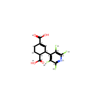 O=C(O)C1=CC(c2c(F)c(F)nc(F)c2F)C(C(=O)O)CC1